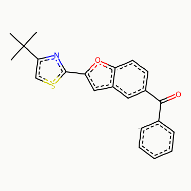 CC(C)(C)c1csc(-c2cc3cc(C(=O)c4[c]cccc4)ccc3o2)n1